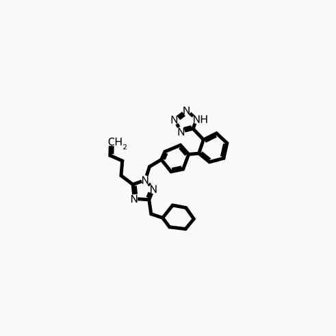 C=CCCc1nc(CC2CCCCC2)nn1Cc1ccc(-c2ccccc2-c2nnn[nH]2)cc1